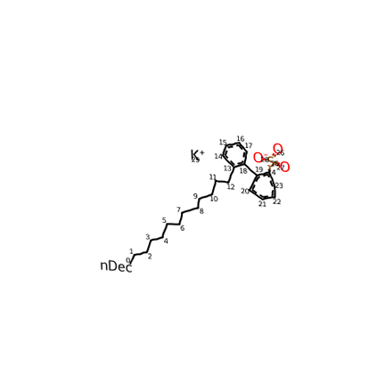 CCCCCCCCCCCCCCCCCCCCCCc1ccccc1-c1ccccc1S(=O)(=O)[O-].[K+]